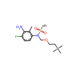 CCCS(=O)(=O)N(COCC[Si](C)(C)C)c1ccc(F)c(N)c1C